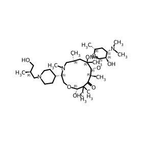 CO[C@]1(C)C[C@@H](C)CN(C)[C@@H](C2CCN(C[C@@H](C)CO)CC2)CO[C@@H](O)C(C)(C)C(=O)[C@H](C)[C@H]1O[C@@H]1O[C@H](C)C[C@H](N(C)C)[C@H]1O